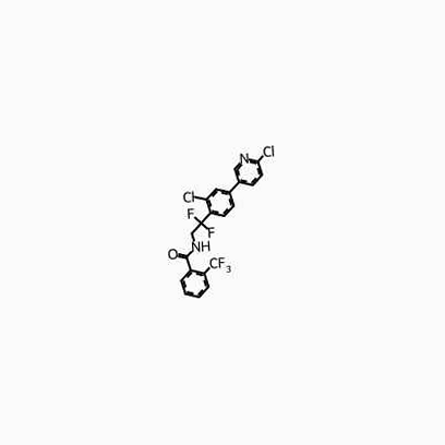 O=C(NCC(F)(F)c1ccc(-c2ccc(Cl)nc2)cc1Cl)c1ccccc1C(F)(F)F